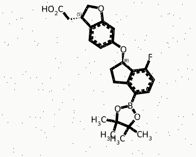 CC1(C)OB(c2ccc(F)c3c2CC[C@H]3Oc2ccc3c(c2)OC[C@H]3CC(=O)O)OC1(C)C